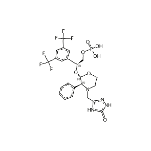 O=c1[nH]nc(CN2CCO[C@H](O[C@H](COP(=O)(O)O)c3cc(C(F)(F)F)cc(C(F)(F)F)c3)[C@@H]2c2ccccc2)[nH]1